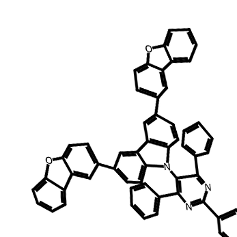 c1ccc(-c2nc(-c3ccccc3)c(-n3c4ccc(-c5ccc6oc7ccccc7c6c5)cc4c4cc(-c5ccc6oc7ccccc7c6c5)ccc43)c(-c3ccccc3)n2)cc1